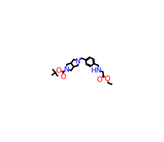 CCOC(=O)CNCc1ccc(CN2CC3CN(C(=O)OC(C)(C)C)CC3C2)cc1